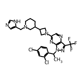 CC(c1ccc(Cl)cc1Cl)n1nc(C(F)(F)F)c2ncc(N3CC(C4CCCN(Cc5cnc[nH]5)C4)C3)nc21